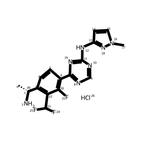 C[C@@H](N)c1ccc(-c2ncnc(Nc3ccn(C)n3)n2)c(F)c1C(F)F.Cl